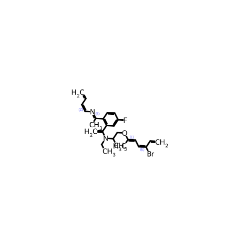 C=C/C=C\N=C(/C)c1ccc(F)cc1C(=C)N(CC)C(C)CO/C(C)=C/C=C(/Br)C=C